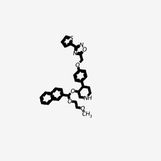 COCCOC(OC1CNCCC1c1ccc(OCc2nc(-c3cccs3)no2)cc1)c1ccc2ccccc2c1